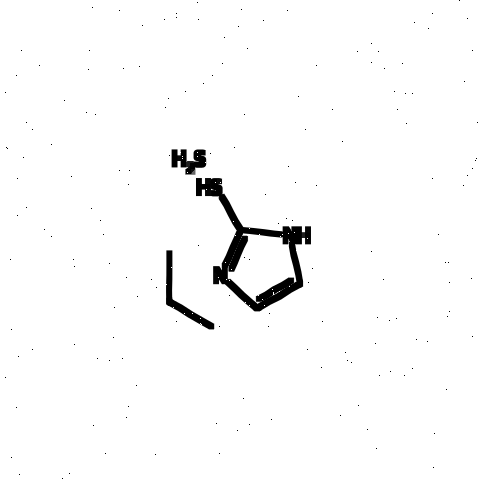 CCC.S.Sc1ncc[nH]1